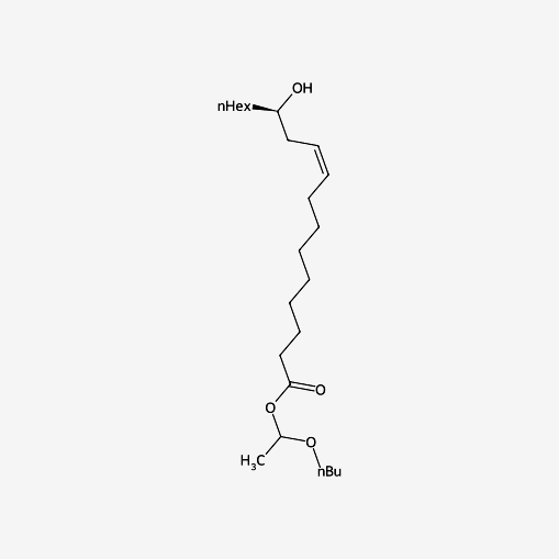 CCCCCC[C@@H](O)C/C=C\CCCCCCCC(=O)OC(C)OCCCC